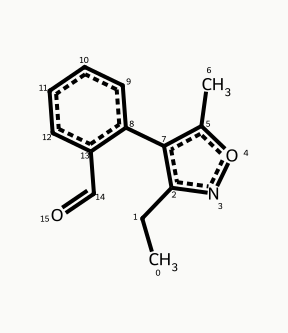 CCc1noc(C)c1-c1ccccc1C=O